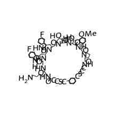 COc1ccc(C[C@@H]2NC(=O)[C@@H]([C@H](C)O)NC(=O)[C@@H]3C[C@H](O)CN3C(=O)[C@H](Cc3c[nH]c4ccc(F)cc34)NC(=O)[C@H](Cc3c[nH]c4ccc(F)cc34)NC(=O)[C@@H](C)NC(=O)[C@H](CCCCN)NC(=O)CCSCc3cccc(c3)CSCCNC(=O)[C@]3(C)CCCN3C2=O)cc1